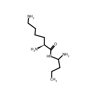 CCCC(N)NC(=O)[C@@H](N)CCCCN